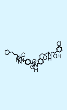 O=c1n(CCCC2CCCC2)nnn1-c1ccc(S(=O)(=O)Nc2ccc3c(c2)CCC(CNCC(O)c2cccc(Cl)c2)O3)cc1